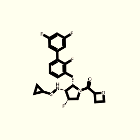 O=C(C1CCO1)N1C[C@H](F)[C@H](NSC2CC2)[C@@H]1Cc1cccc(-c2cc(F)cc(F)c2)c1F